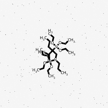 CCCN(CC(CCC)(C(N)=O)[Si](OCC)(OCC)OCC)[Si](OCC)(OCC)OCC